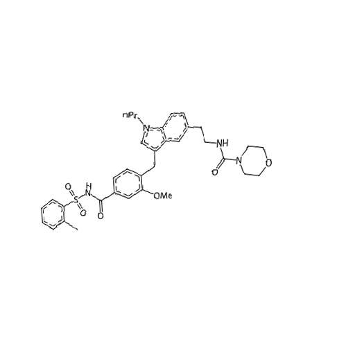 CCCn1cc(Cc2ccc(C(=O)NS(=O)(=O)c3ccccc3C)cc2OC)c2cc(CCNC(=O)N3CCOCC3)ccc21